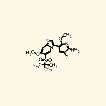 COc1cc2ncc(-c3cc(F)c(N)nc3OC)n2cc1S(=O)(=O)C(C)(C)C